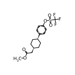 COC(=O)C[C@H]1CC[C@@H](c2ccc(OS(=O)(=O)C(F)(F)F)cc2)CC1